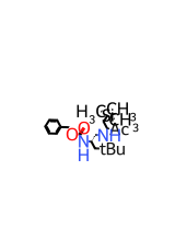 CC(=O)[C@H](C[Si](C)(C)C)NC[C@H](CC(C)(C)C)NC(=O)OCc1ccccc1